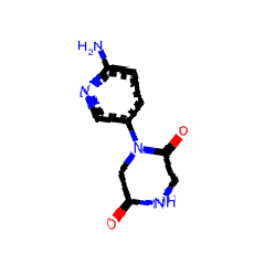 Nc1ccc(N2CC(=O)NCC2=O)cn1